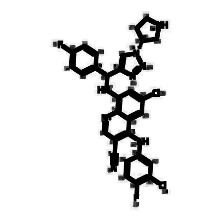 N#Cc1cnc2c(NC(c3ccc(F)cc3)c3cn([C@@H]4CCNC4)nn3)cc(Cl)cc2c1Nc1ccc(F)c(Cl)c1